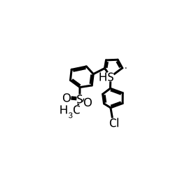 CS(=O)(=O)c1cccc(C2=CC=[C][SH]2c2ccc(Cl)cc2)c1